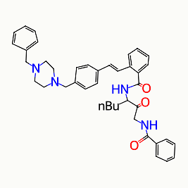 CCCCC(NC(=O)c1ccccc1C=Cc1ccc(CN2CCN(Cc3ccccc3)CC2)cc1)C(=O)CNC(=O)c1ccccc1